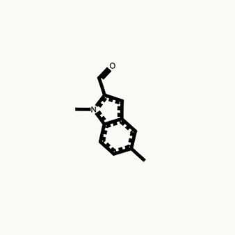 Cc1ccc2c(c1)cc(C=O)n2C